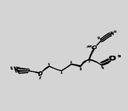 N#COCCCCC(C=O)OC#N